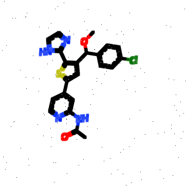 COC(c1ccc(Cl)cc1)c1cc(-c2ccnc(NC(C)=O)c2)sc1-c1ncc[nH]1